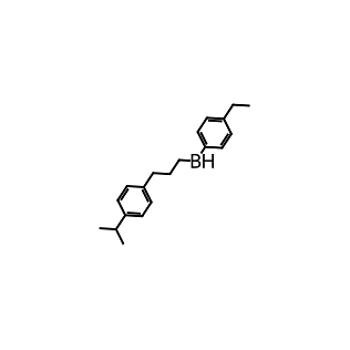 CCc1ccc(BCCCc2ccc(C(C)C)cc2)cc1